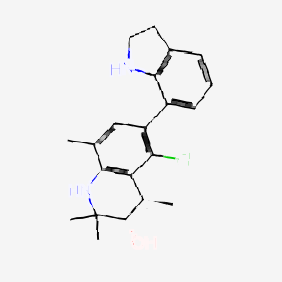 Cc1cc(-c2cccc3c2NCC3)c(Cl)c2c1NC(C)(C)[C@@H](O)[C@@H]2C